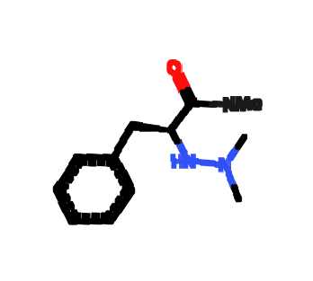 CNC(=O)[C@H](Cc1ccccc1)NN(C)C